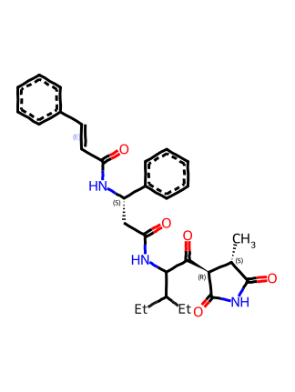 CCC(CC)C(NC(=O)C[C@H](NC(=O)/C=C/c1ccccc1)c1ccccc1)C(=O)[C@@H]1C(=O)NC(=O)[C@H]1C